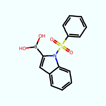 O=S(=O)(c1ccccc1)n1c(B(O)O)cc2ccccc21